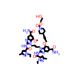 CCn1nc(C)cc1C(=O)Nc1nc2cc(C(N)=O)cc(OC)c2n1C/C=C/Cn1c(NC(=O)c2cc(C)nn2CC)nc2cc(C(N)=O)cc(OCC#CC3CCN(C(=O)OCCO)CC3)c21